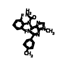 Cc1ccc(-c2nc(N(C(N)=O)c3c(F)cccc3F)c3ncn(C)c3n2)cc1